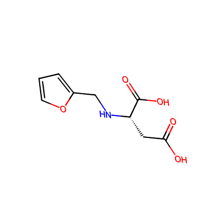 O=C(O)C[C@H](NCc1ccco1)C(=O)O